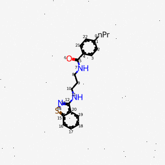 CCCc1ccc(C(=O)NCCCNc2nsc3ccccc23)cc1